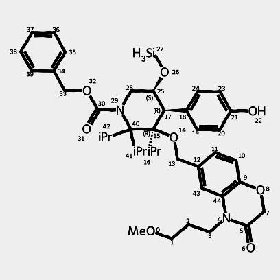 COCCCN1C(=O)COc2ccc(CO[C@]3(C(C)C)[C@H](c4ccc(O)cc4)[C@H](O[SiH3])CN(C(=O)OCc4ccccc4)C3(C(C)C)C(C)C)cc21